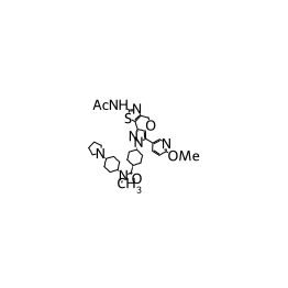 COc1ccc(-c2c3c(nn2[C@H]2CC[C@H](C(=O)N(C)[C@H]4CC[C@@H](N5CCCC5)CC4)CC2)-c2sc(NC(C)=O)nc2CO3)cn1